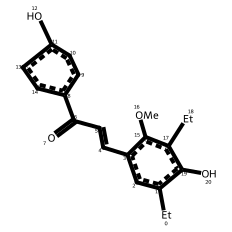 CCc1cc(C=CC(=O)c2ccc(O)cc2)c(OC)c(CC)c1O